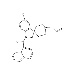 C=CCN1CCC2(CC1)CN(C(=O)c1cccc3ccccc13)c1ccc(F)cc12